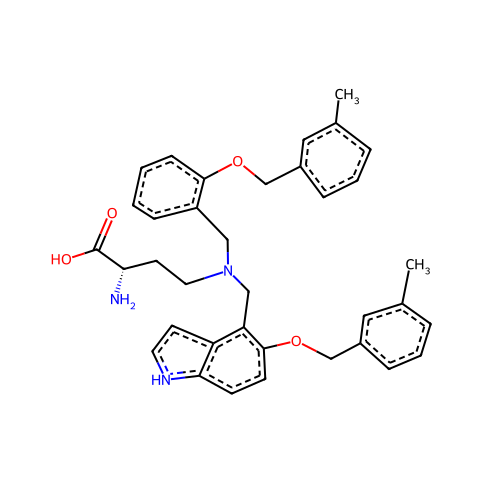 Cc1cccc(COc2ccccc2CN(CC[C@H](N)C(=O)O)Cc2c(OCc3cccc(C)c3)ccc3[nH]ccc23)c1